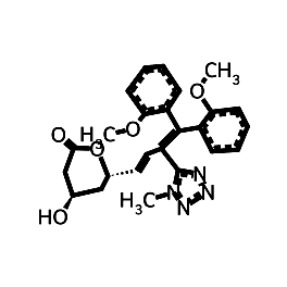 COc1ccccc1C(=C(C=C[C@@H]1C[C@@H](O)CC(=O)O1)c1nnnn1C)c1ccccc1OC